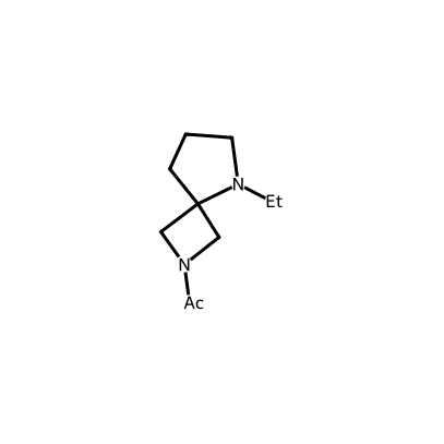 CCN1CCCC12CN(C(C)=O)C2